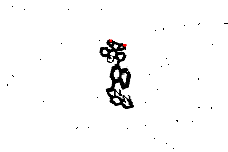 c1ccc2c(c1)Oc1c(-c3ccc(-c4ccc5ccc6cccnc6c5n4)c4ccccc34)cccc1C21c2ccccc2-c2ccccc21